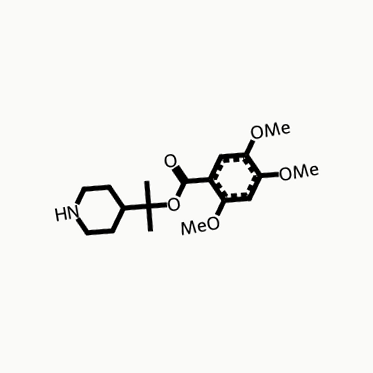 COc1cc(OC)c(C(=O)OC(C)(C)C2CCNCC2)cc1OC